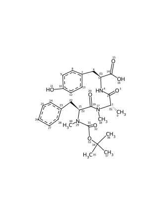 C[C@@H](C(=O)N[C@@H](Cc1ccc(O)cc1)C(=O)O)N(C)C(=O)[C@H](Cc1ccccc1)N(C)C(=O)OC(C)(C)C